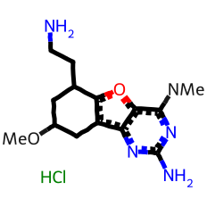 CNc1nc(N)nc2c3c(oc12)C(CCN)CC(OC)C3.Cl